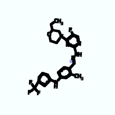 CCC1CN(c2nc(N/N=C/c3ccc(Nc4cccc(C(F)(F)F)c4)cc3C)ncc2F)CCO1